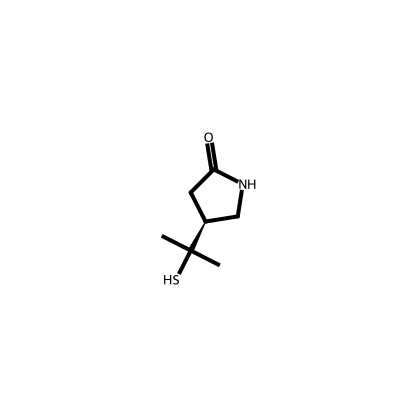 CC(C)(S)[C@@H]1CNC(=O)C1